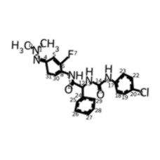 CN(C)N=C1C=C(F)C(NC(=O)C(NC(=O)Nc2ccc(Cl)cc2)c2ccccc2)=CC1